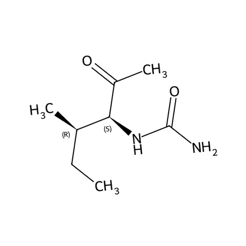 CC[C@@H](C)[C@H](NC(N)=O)C(C)=O